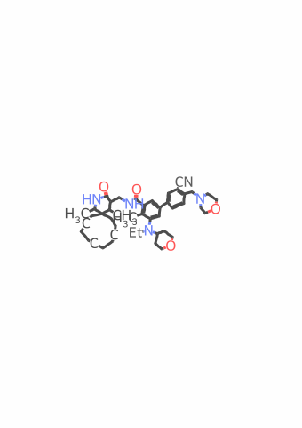 CCN(c1cc(-c2ccc(CN3CCOCC3)c(C#N)c2)cc(C(=O)NCC2C(=O)NC(C)C3(CCCCCCCCCC3)C2C)c1C)C1CCOCC1